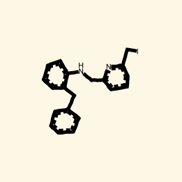 ICc1cccc(CNc2ccccc2Cc2ccccc2)n1